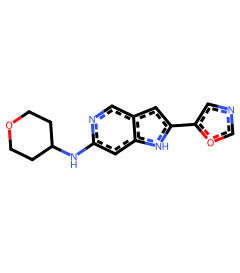 c1ncc(-c2cc3cnc(NC4CCOCC4)cc3[nH]2)o1